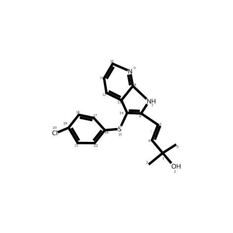 CC(C)(O)/C=C/c1[nH]c2ncccc2c1Sc1ccc(Cl)cc1